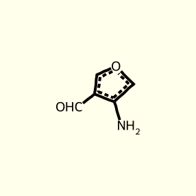 Nc1cocc1C=O